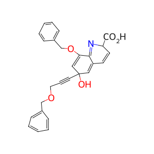 O=C(O)C1C=CC2=CC(O)(C#CCOCc3ccccc3)C=C(OCc3ccccc3)C2=N1